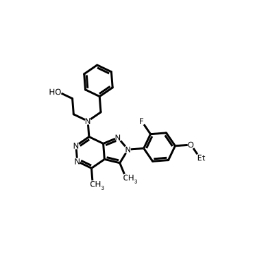 CCOc1ccc(-n2nc3c(N(CCO)Cc4ccccc4)nnc(C)c3c2C)c(F)c1